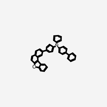 c1ccc(-c2ccc(N(c3ccccc3)c3ccc(-c4ccc5ccc6oc7ccccc7c6c5c4)cc3)cc2)cc1